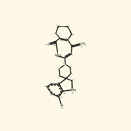 C=C1C=C(N2CCC3(CC2)CNc2c(Br)cccc23)NC(=O)C2=C1CCCC2